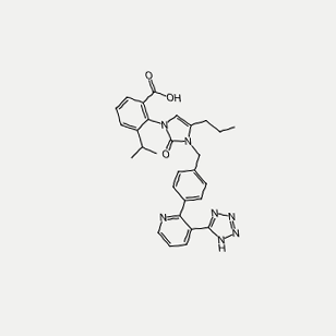 CCCc1cn(-c2c(C(=O)O)cccc2C(C)C)c(=O)n1Cc1ccc(-c2ncccc2-c2nnn[nH]2)cc1